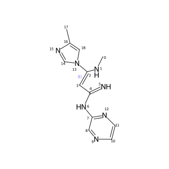 CN/C(=C\C(=N)Nc1cnccn1)n1cnc(C)c1